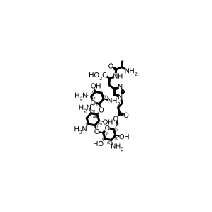 CC(N)C(=O)NC(Cc1cn(CCC(=O)OC[C@H]2O[C@H](O[C@@H]3[C@@H](O)[C@H](O[C@H]4O[C@H](N)[C@@H](O)C[C@H]4N)[C@@H](N)C[C@H]3N)[C@H](O)[C@@H](N)[C@@H]2O)cn1)C(=O)O